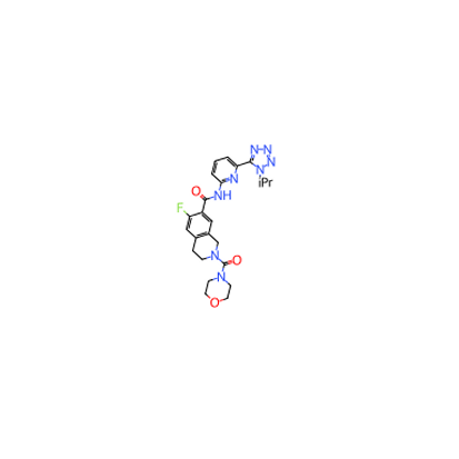 CC(C)n1nnnc1-c1cccc(NC(=O)c2cc3c(cc2F)CCN(C(=O)N2CCOCC2)C3)n1